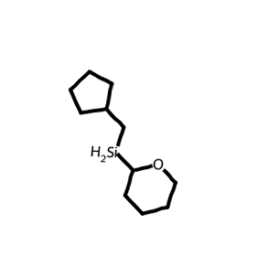 C1CCC([SiH2]CC2CCCC2)OC1